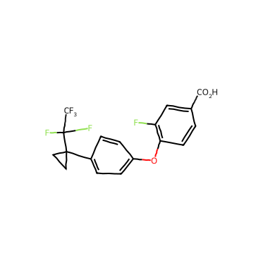 O=C(O)c1ccc(Oc2ccc(C3(C(F)(F)C(F)(F)F)CC3)cc2)c(F)c1